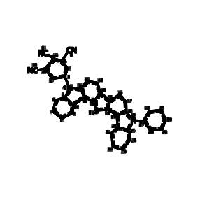 N#Cc1cc(-n2c3ccccc3c3c4sc5c(ccc6c5c5ccccc5n6-c5ccccc5)c4ccc32)cc(C#N)c1C#N